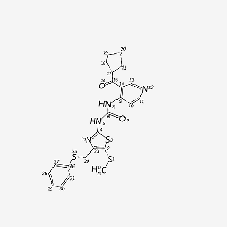 CSc1sc(NC(=O)Nc2ccncc2C(=O)C2CCCC2)nc1CSc1ccccc1